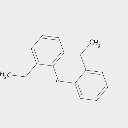 CCc1ccccc1[C]c1ccccc1CC